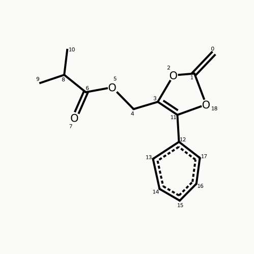 C=C1OC(COC(=O)C(C)C)=C(c2ccccc2)O1